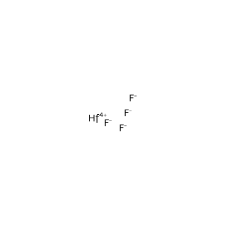 [F-].[F-].[F-].[F-].[Hf+4]